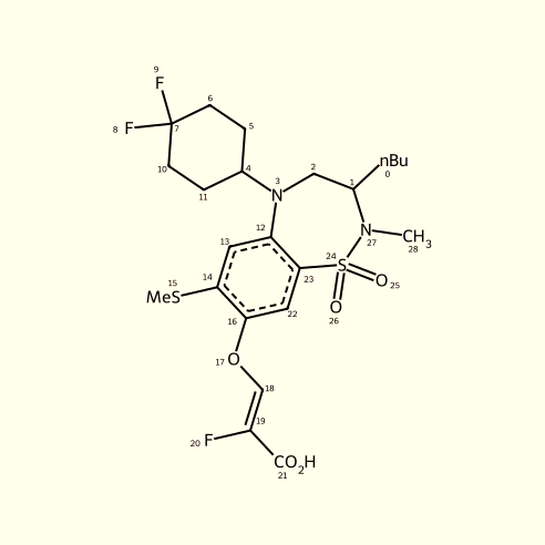 CCCCC1CN(C2CCC(F)(F)CC2)c2cc(SC)c(O/C=C(\F)C(=O)O)cc2S(=O)(=O)N1C